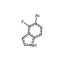 CC(=O)c1ccc2[nH]ccc2c1F